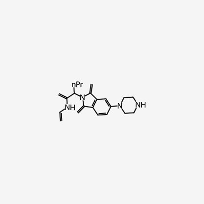 C=CNC(=C)C(CCC)n1c(=C)c2ccc(N3CCNCC3)cc2c1=C